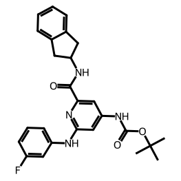 CC(C)(C)OC(=O)Nc1cc(Nc2cccc(F)c2)nc(C(=O)NC2Cc3ccccc3C2)c1